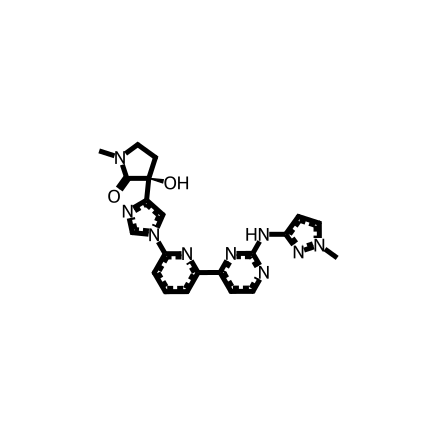 CN1CC[C@](O)(c2cn(-c3cccc(-c4ccnc(Nc5ccn(C)n5)n4)n3)cn2)C1=O